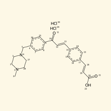 CN1CCN(Cc2ccc(C(=O)C=Cc3ccc(C=CC(=O)O)cc3)cc2)CC1.Cl.Cl